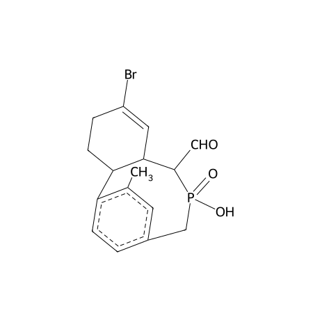 Cc1cc2ccc1C1CCC(Br)=CC1C(C=O)P(=O)(O)C2